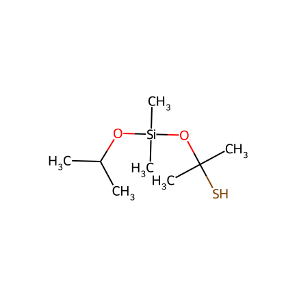 CC(C)O[Si](C)(C)OC(C)(C)S